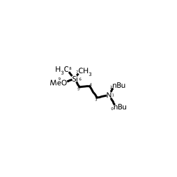 CCCCN(CCCC)CCC[Si](C)(C)OC